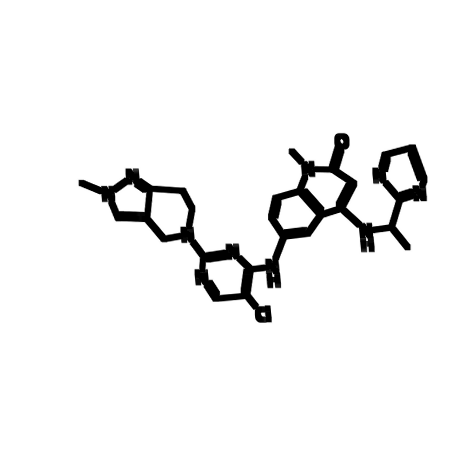 CC(Nc1cc(=O)n(C)c2ccc(Nc3nc(N4CCc5nn(C)cc5C4)ncc3Cl)cc12)c1ncccn1